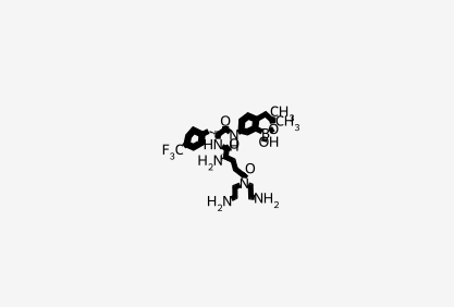 CC1(C)Cc2ccc(NC(=O)[C@@H](Cc3ccc(C(F)(F)F)cc3)NC(=O)[C@@H](N)CCC(=O)N(CCN)CCN)cc2B(O)O1